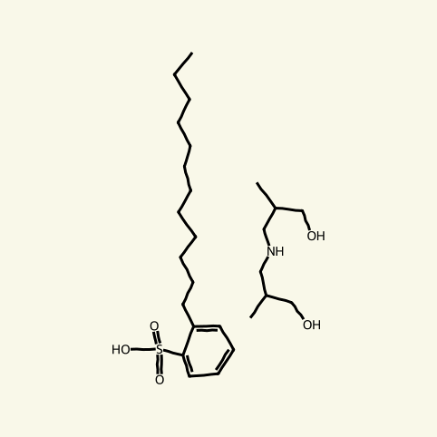 CC(CO)CNCC(C)CO.CCCCCCCCCCCCc1ccccc1S(=O)(=O)O